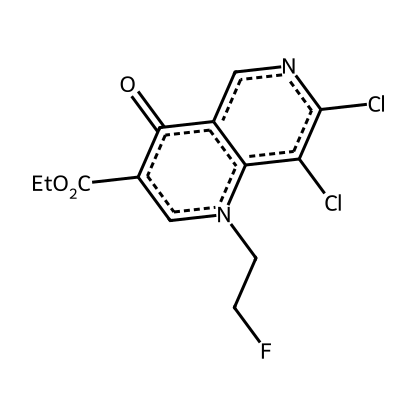 CCOC(=O)c1cn(CCF)c2c(Cl)c(Cl)ncc2c1=O